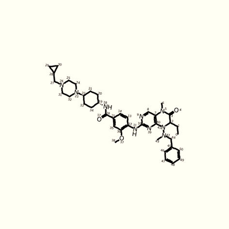 CCC1C(=O)N(C)c2cnc(Nc3ccc(C(=O)N[C@H]4CC[C@H](N5CCN(CC6CC6)CC5)CC4)cc3OC)nc2N1N(C)Cc1ccccc1